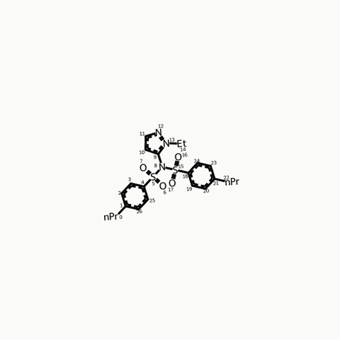 CCCc1ccc(S(=O)(=O)N(c2ccnn2CC)S(=O)(=O)c2ccc(CCC)cc2)cc1